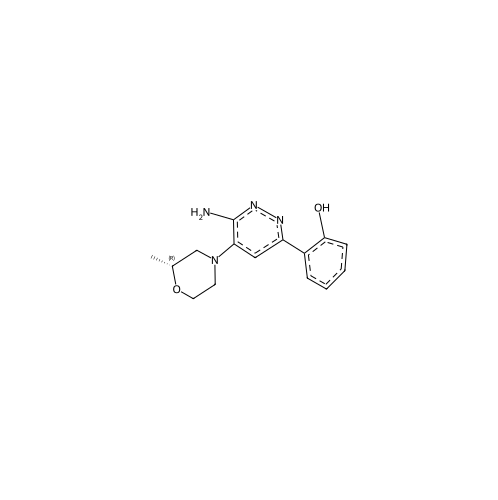 C[C@@H]1CN(c2cc(-c3ccccc3O)nnc2N)CCO1